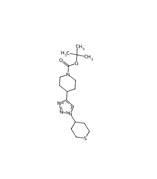 CC(C)(C)OC(=O)N1CCC(c2cn(C3CCSCC3)nn2)CC1